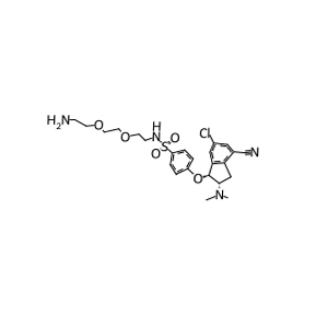 CN(C)[C@H]1Cc2c(C#N)cc(Cl)cc2[C@@H]1Oc1ccc(S(=O)(=O)NCCOCCOCCN)cc1